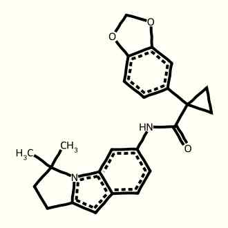 CC1(C)CCc2cc3ccc(NC(=O)C4(c5ccc6c(c5)OCO6)CC4)cc3n21